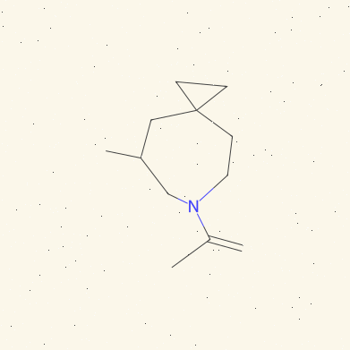 C=C(C)N1CCC2(CC2)CC(C)C1